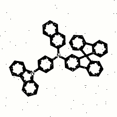 c1ccc2c(c1)-c1ccccc1C21c2ccccc2-c2ccc(N(c3ccc(-n4c5ccccc5c5ccccc54)cc3)c3ccc4ccccc4c3)cc21